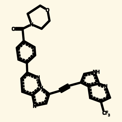 O=C(c1ccc(-c2ccc3ncc(C#Cc4c[nH]c5ncc(C(F)(F)F)cc45)n3n2)cc1)N1CCOCC1